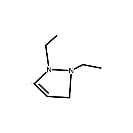 CCN1[C]=CCN1CC